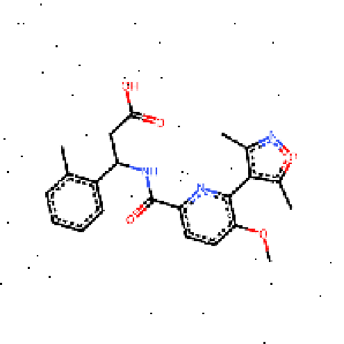 COc1ccc(C(=O)NC(CC(=O)O)c2ccccc2C)nc1-c1c(C)noc1C